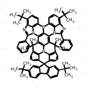 CC(C)(C)c1ccc2c(c1)C1(c3cc(C(C)(C)C)ccc3-2)c2cccc3c2N2c4c(cccc41)C(C)(C)c1c2c(c2c4c1-n1c(-c5ccccc5)nc5c(C(C)(C)C)ccc(c51)B4c1ccc(C(C)(C)C)c4nc(-c5ccccc5)n-2c14)C3(C)C